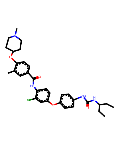 CCC(CC)NC(=O)Nc1ccc(Oc2ccc(NC(=O)c3ccc(OC4CCN(C)CC4)c(C)c3)c(F)c2)cc1